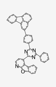 c1ccc(-c2nc(-c3ccc(-c4cc5c6c(cccc6c4)-c4ccccc4-5)cc3)nc(-c3ccnc4oc5ccccc5c34)n2)cc1